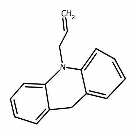 C=CCN1c2ccccc2Cc2ccccc21